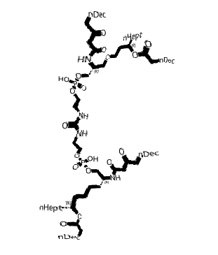 CCCCCCCCCCCC(=O)CC(=O)N[C@H](CCCC[C@@H](CCCCCCC)OC(=O)CCCCCCCCCCC)COP(=O)(O)OCCNC(=O)NCCOP(=O)(O)OC[C@@H](COCC[C@@H](CCCCCCC)OC(=O)CCCCCCCCCCC)NC(=O)CC(=O)CCCCCCCCCCC